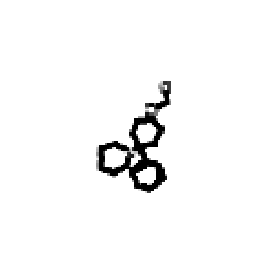 ClCCl.c1ccc(C2(N3CCCCC3)CCCCC2)cc1